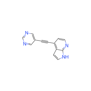 C(#Cc1ccnc2[nH]ccc12)c1cncnc1